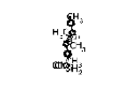 C1CC[SiH2]C1.CC1=[C]([Zr+2][C]2=C(C)C(c3ccc(C)cc3)=CC2)CC=C1c1ccc(C)cc1.[Cl-].[Cl-]